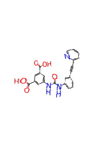 O=C(Nc1cccc(C#Cc2ccccn2)c1)Nc1cc(C(=O)O)cc(C(=O)O)c1